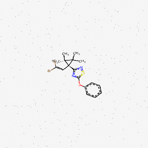 CC1(C)[C@@](C)(C(=O)O)[C@]1(C=C(Br)Br)c1nsc(Oc2ccccc2)n1